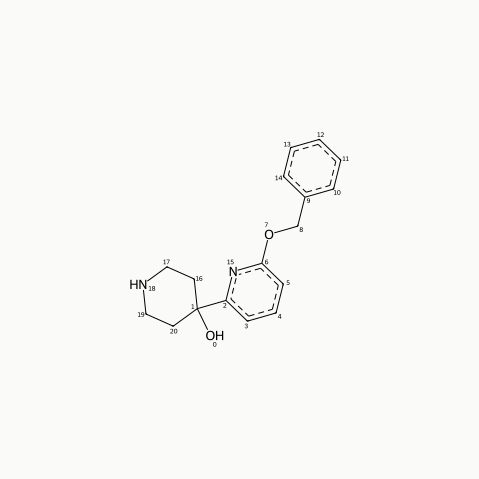 OC1(c2cccc(OCc3ccccc3)n2)CCNCC1